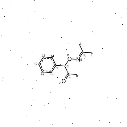 CC(=O)C(ON=C(C)C)c1ccccc1